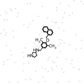 Cc1cc(CNC2CCNC2)cc(C)c1OCc1cccc2ccccc12